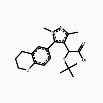 Cc1nn(C)c(-c2ccc3c(c2)CCCO3)c1C(OC(C)(C)C)C(=O)O